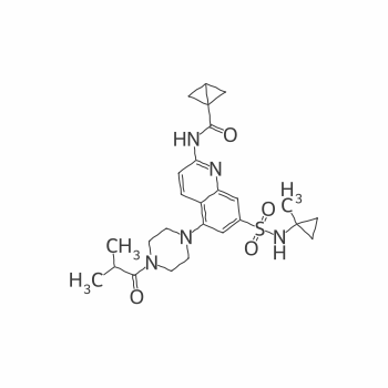 CC(C)C(=O)N1CCN(c2cc(S(=O)(=O)NC3(C)CC3)cc3nc(NC(=O)C45CC4C5)ccc23)CC1